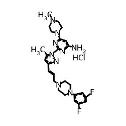 Cc1cc(C=CCN2CCN(c3cc(F)cc(F)c3)CC2)nn1-c1nc(N)cc(N2CCN(C)CC2)n1.Cl